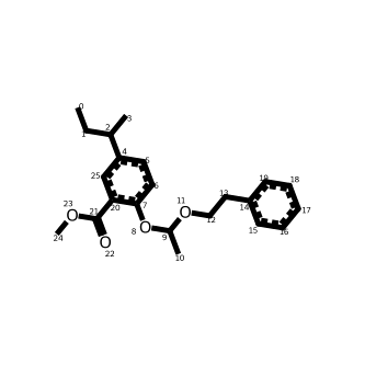 CCC(C)c1ccc(OC(C)OCCc2ccccc2)c(C(=O)OC)c1